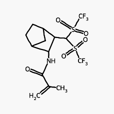 C=C(C)C(=O)NC1C2CCC(C2)C1C(S(=O)(=O)C(F)(F)F)S(=O)(=O)C(F)(F)F